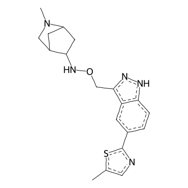 Cc1cnc(-c2ccc3[nH]nc(CONC4CC5CC4CN5C)c3c2)s1